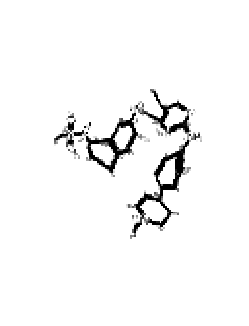 Cc1cnc(Nc2ccc(C3CCN(C)CC3)cc2)nc1Nc1ccc2c(c1)C(NS(C)(=O)=O)CC2